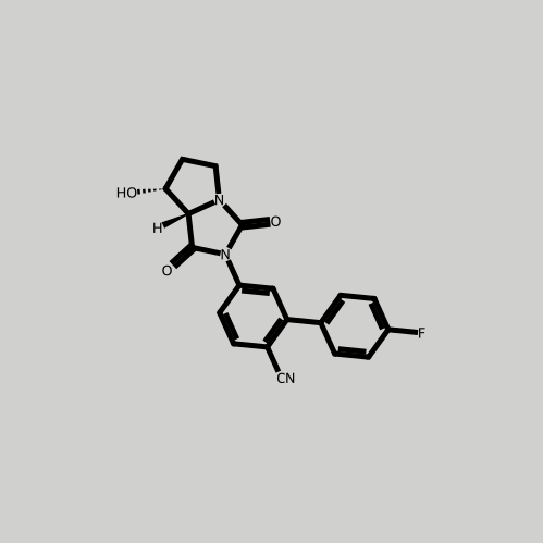 N#Cc1ccc(N2C(=O)[C@@H]3[C@H](O)CCN3C2=O)cc1-c1ccc(F)cc1